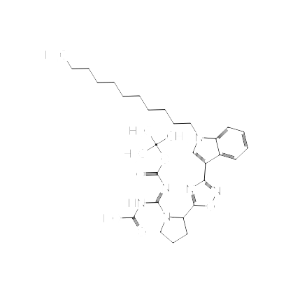 CCCCCCCCCCCn1cc(-c2noc(C3CCCN3C(=NC(=O)OC(C)(C)C)NC(=O)O)n2)c2ccccc21